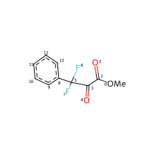 COC(=O)C(=O)C(F)(F)c1ccccc1